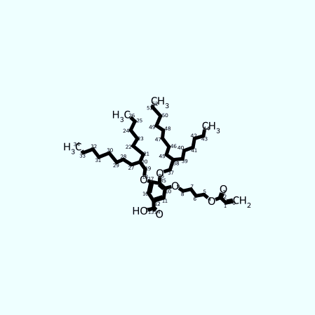 C=CC(=O)OCCCCOc1cc(C(=O)O)cc(OCC(CCCCCC)CCCCCCCC)c1OCC(CCCCCC)CCCCCCCC